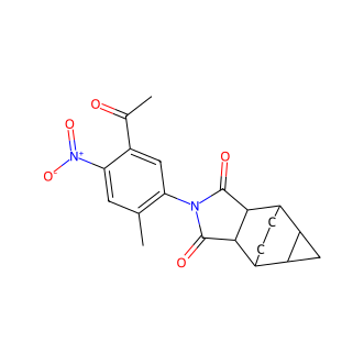 CC(=O)c1cc(N2C(=O)C3C4CCC(C5CC54)C3C2=O)c(C)cc1[N+](=O)[O-]